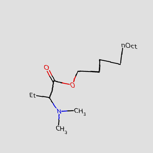 CCCCCCCCCCCCOC(=O)C(CC)N(C)C